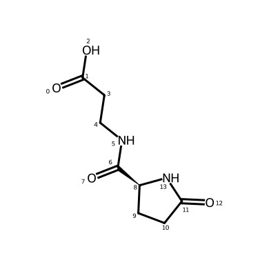 O=C(O)CCNC(=O)[C@@H]1CCC(=O)N1